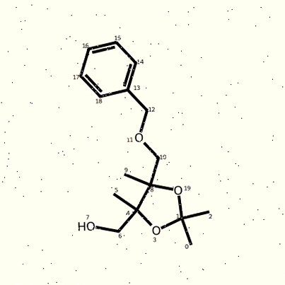 CC1(C)OC(C)(CO)C(C)(COCc2ccccc2)O1